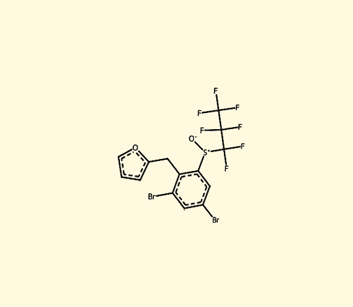 [O-][S+](c1cc(Br)[c]c(Br)c1Cc1ccco1)C(F)(F)C(F)(F)C(F)(F)F